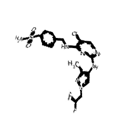 Cc1nn(CC(F)F)cc1Nc1ncc(Cl)c(NCc2ccc(S(N)(=O)=O)cc2)n1